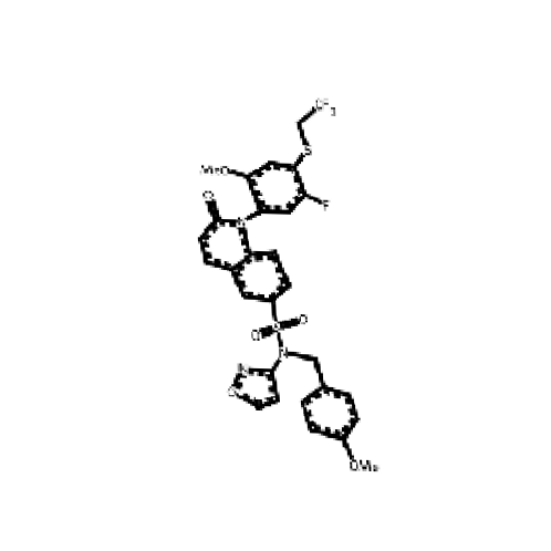 COc1ccc(CN(c2ccon2)S(=O)(=O)c2ccc3c(ccc(=O)n3-c3cc(F)c(SCC(F)(F)F)cc3OC)c2)cc1